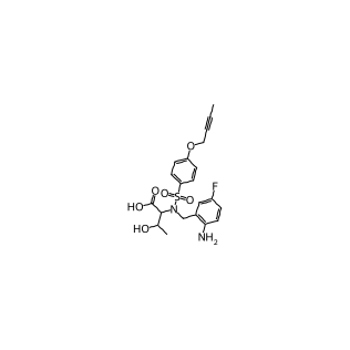 CC#CCOc1ccc(S(=O)(=O)N(Cc2cc(F)ccc2N)C(C(=O)O)C(C)O)cc1